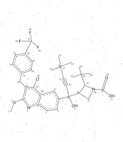 COc1nc2ccc(C(O)(C#C[Si](C)(C)C)C3CN(C(=O)O)C3C(C)(C)C)cc2c(Cl)c1Cc1ccc(C(F)(F)F)cc1